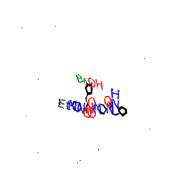 CCN1CCN(C(=O)[C@@H](Cc2ccc(O)c(Br)c2)OC(=O)N2CCC(N3CCc4ccccc4NC3=O)CC2)CC1